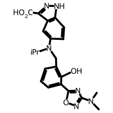 CC(C)N(Cc1cccc(-c2nc(N(C)C)no2)c1O)c1ccc2[nH]nc(C(=O)O)c2c1